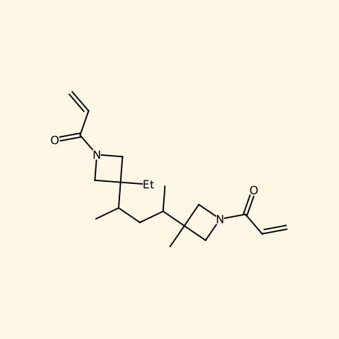 C=CC(=O)N1CC(C)(C(C)CC(C)C2(CC)CN(C(=O)C=C)C2)C1